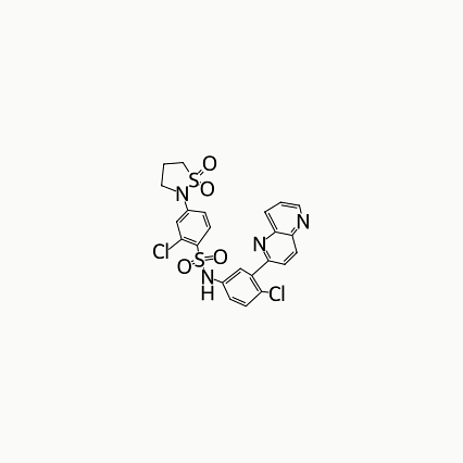 O=S(=O)(Nc1ccc(Cl)c(-c2ccc3ncccc3n2)c1)c1ccc(N2CCCS2(=O)=O)cc1Cl